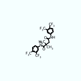 CC(C)(CC(=O)Nc1ccc(C(F)(F)F)c(C(F)(F)F)c1)C(=O)Nc1ccc(C(F)(F)F)c(C(F)(F)F)c1